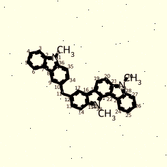 Cn1c2ccccc2c2cc(Cc3ccc4c(c3)c3ccc5c(c6ccccc6n5C)c3n4C)ccc21